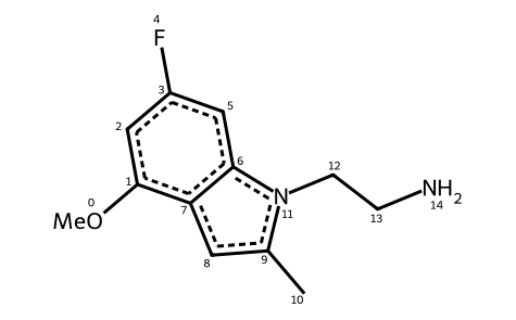 COc1cc(F)cc2c1cc(C)n2CCN